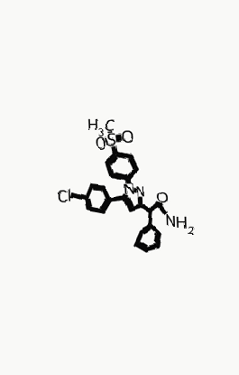 CS(=O)(=O)c1ccc(-n2nc(C(C(N)=O)c3ccccc3)cc2-c2ccc(Cl)cc2)cc1